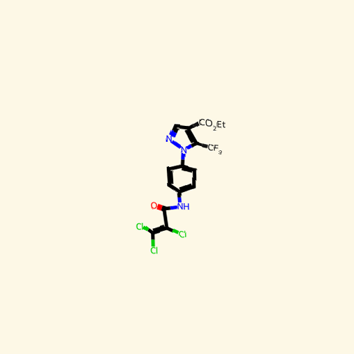 CCOC(=O)c1cnn(-c2ccc(NC(=O)C(Cl)=C(Cl)Cl)cc2)c1C(F)(F)F